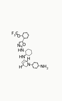 Nc1ccc(N2C[C@@H]3C[C@H](N[C@@H]4CCCC[C@H]4Nc4ncc(-c5ccccc5OC(F)(F)F)o4)[C@H]2C3)cc1